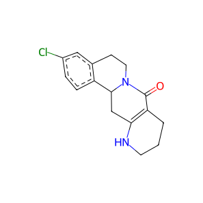 O=C1C2=C(CC3c4ccc(Cl)cc4CCN13)NCCC2